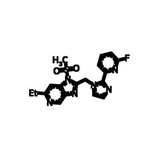 CCc1cc2c(cn1)nc(Cn1ccnc1-c1cccc(F)n1)n2S(C)(=O)=O